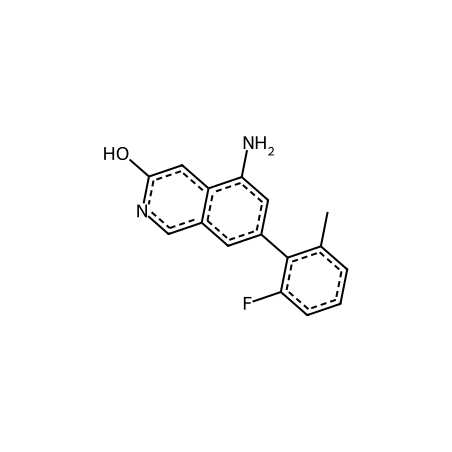 Cc1cccc(F)c1-c1cc(N)c2cc(O)ncc2c1